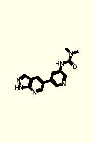 CN(C)C(=O)Nc1cncc(-c2cnc3[nH]ncc3c2)c1